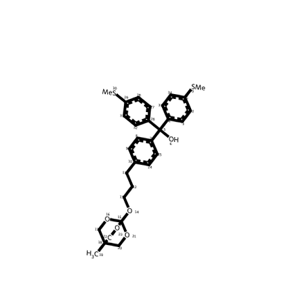 CSc1ccc(C(O)(c2ccc(CCCOC34OCC(C)(CO3)CO4)cc2)c2ccc(SC)cc2)cc1